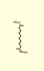 CCCCCCCCNCCCCCCCCNCCCCC